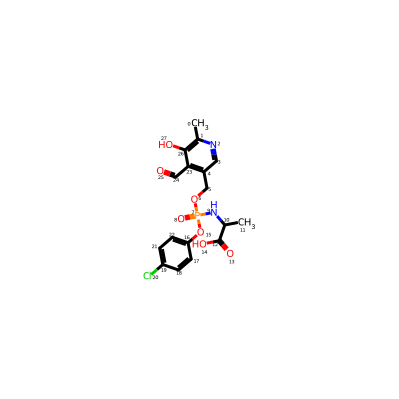 Cc1ncc(COP(=O)(NC(C)C(=O)O)Oc2ccc(Cl)cc2)c(C=O)c1O